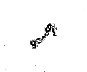 CCCCC(=O)n1c(=O)ccc2ccc(OCCCCN3CCN(c4cccc5sccc45)CC3)cc21